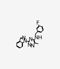 Cc1nnc(-n2ncc3ccccc32)nc1NCc1cccc(F)c1